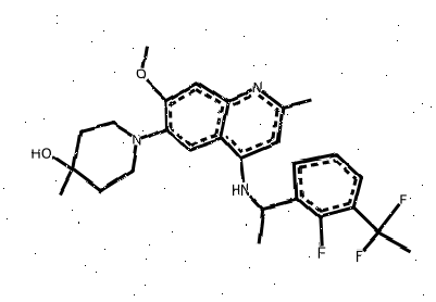 COc1cc2nc(C)cc(NC(C)c3cccc(C(C)(F)F)c3F)c2cc1N1CCC(C)(O)CC1